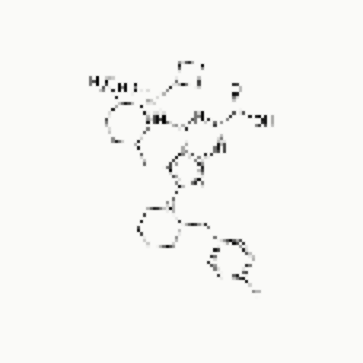 CC1CCC(Cn2c(N3CCCCC3Cc3ccc(F)cc3)nc3nc(C(=O)O)nc(N[C@H](C)C4CCC4)c32)CC1